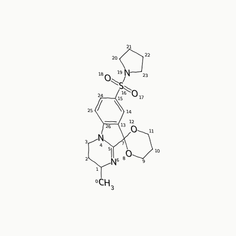 CC1CCN2C(=N1)C1(OCCCO1)c1cc(S(=O)(=O)N3CCCC3)ccc12